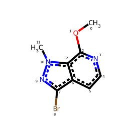 COc1nccc2c(Br)nn(C)c12